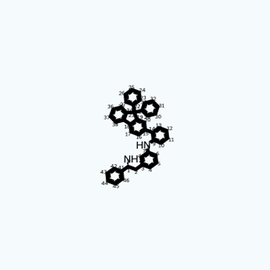 N[C@H](Cc1cccc(Nc2ccccc2-c2ccc3c(c2)C(c2ccccc2)(c2ccccc2)c2ccccc2-3)c1)c1ccccc1